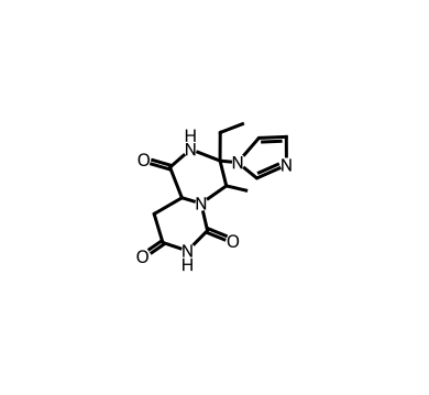 CCC1(n2ccnc2)NC(=O)C2CC(=O)NC(=O)N2C1C